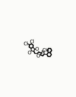 Cn1c(-c2cccc3ccccc23)cc2oc(C=C3C(=O)c4cc(Cl)c(Cl)cc4C3=O)cc21